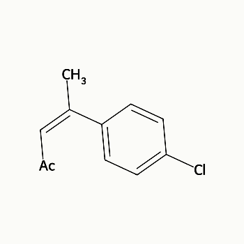 CC(=O)/C=C(/C)c1ccc(Cl)cc1